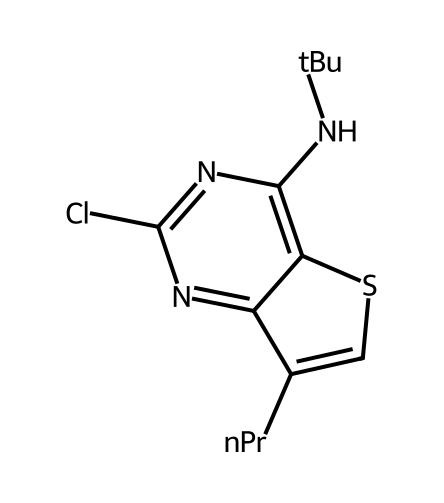 CCCc1csc2c(NC(C)(C)C)nc(Cl)nc12